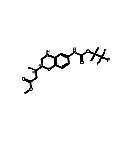 COC(=O)C[C@@H](C)[C@H]1CNc2cc(NC(=O)OC(C)(C)C(F)(F)F)ccc2O1